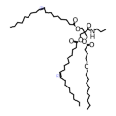 CCCCCCCC/C=C\CCCCCCCC(=O)OCC(COC(=O)CCCCCCC/C=C\CCCCCCCC)(COC(=O)CCCCCCCCCCCCCCC)C(=O)NCCC